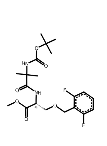 COC(=O)[C@@H](COCc1c(F)cccc1F)NC(=O)C(C)(C)NC(=O)OC(C)(C)C